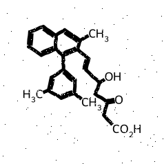 Cc1cc(C)cc(-c2c(/C=C/C(O)CC(=O)CC(=O)O)c(C)cc3ccccc23)c1